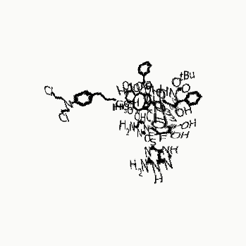 CC(=O)O[C@@]12CO[C@@H]1C[C@H](O)[C@@]1(C)C(=O)[C@H](O)C3=C(C)C(OC(=O)[C@H](O)[C@@H](NC(=O)OC(C)(C)C)c4ccccc4)C[C@@](O)(C(OC(=O)c4ccccc4)C12)C3(C)C.Nc1ccn([C@@H]2O[C@H](CO)[C@@H](O)C2(F)F)c(=O)n1.Nc1nc(=S)c2[nH]cnc2[nH]1.O=C(O)CCCc1ccc(N(CCCl)CCCl)cc1